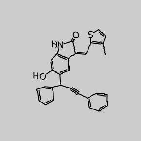 Cc1ccsc1/C=C1\C(=O)Nc2cc(O)c(C(C#Cc3ccccc3)c3ccccc3)cc21